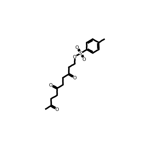 CC(=O)CCC(=O)CCC(=O)CCOS(=O)(=O)c1ccc(C)cc1